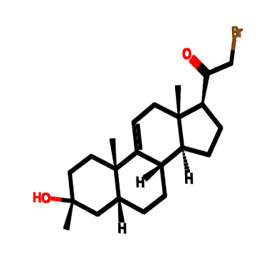 C[C@@]1(O)CC[C@]2(C)C3=CC[C@]4(C)[C@@H](C(=O)CBr)CC[C@H]4[C@@H]3CC[C@@H]2C1